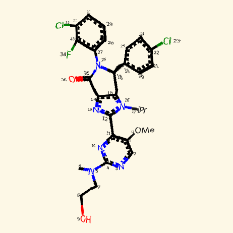 COc1cnc(N(C)CCO)nc1-c1nc2c(n1C(C)C)C(c1ccc(Cl)cc1)N(c1cccc(Cl)c1F)C2=O